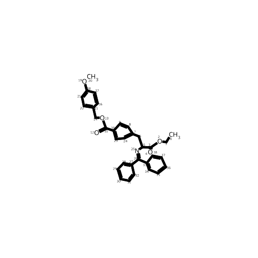 CCOC(=O)C(Cc1ccc(C(=O)OCc2ccc(OC)cc2)cc1)N=C(c1ccccc1)c1ccccc1